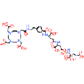 O=C(O)CC[C@H](NP(=O)(O)OCC[C@H](NC(=O)CC[C@H](NC(=O)c1ccc(CCNC(=O)CN2CCN(CC(=O)O)CCN(CC(=O)O)CCN(CC(=O)O)CC2)cc1)C(=O)O)C(=O)O)C(=O)O